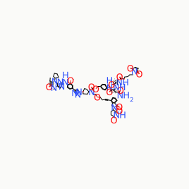 CC[C@@H]1C(=O)N(C)c2cnc(Nc3ccc(-c4cn([C@H]5CC[C@@H](N(CCOCCC#Cc6cccc7c6CN(C6CCC(=O)NC6=O)C7=O)C(=O)OCc6ccc(NC(=O)[C@H](CC(N)=O)NC(=O)[C@H](C)NC(=O)CCCCCN7C(=O)C=CC7=O)cc6)CC5)nn4)cc3OC)nc2N1C1CCCC1